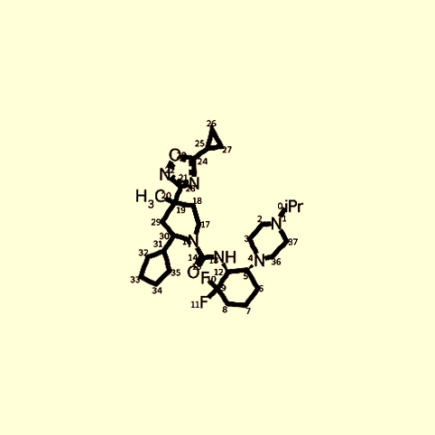 CC(C)N1CCN([C@@H]2CCCC(F)(F)[C@H]2NC(=O)N2CCC(C)(c3noc(C4CC4)n3)CC2C2CCCC2)CC1